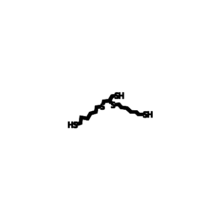 SCCCCCCSCC(CS)SCCCCCCS